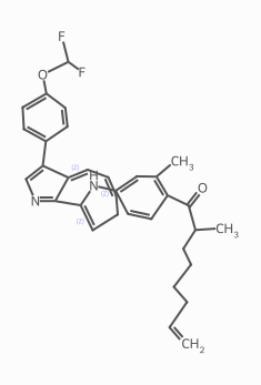 C=CCCCCC(C)C(=O)c1ccc(N/C2=C\C/C=C\C=C3\C(c4ccc(OC(F)F)cc4)=CN=C23)cc1C